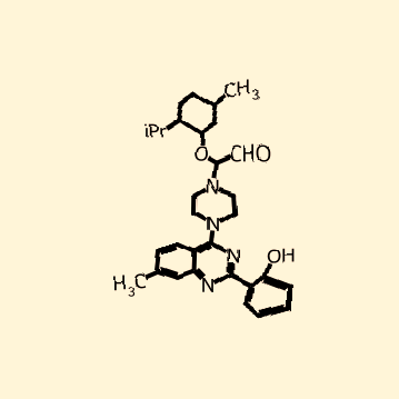 Cc1ccc2c(N3CCN(C(C=O)OC4CC(C)CCC4C(C)C)CC3)nc(-c3ccccc3O)nc2c1